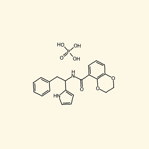 O=C(NC(Cc1ccccc1)c1ccc[nH]1)c1cccc2c1OCCO2.O=P(O)(O)O